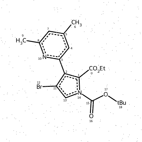 CCOC(=O)c1c(-c2cc(C)cc(C)n2)c(Br)cn1C(=O)OC(C)(C)C